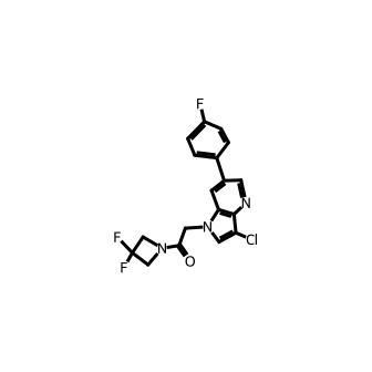 O=C(Cn1cc(Cl)c2ncc(-c3ccc(F)cc3)cc21)N1CC(F)(F)C1